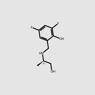 C[C@H](CO)NCc1cc(F)cc(F)c1O